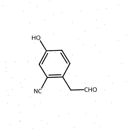 N#Cc1cc(O)ccc1CC=O